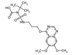 COc1cc2ncnc(OCCCNS(=O)(=O)N(C(=O)O)C(C)(C)C)c2cc1OC